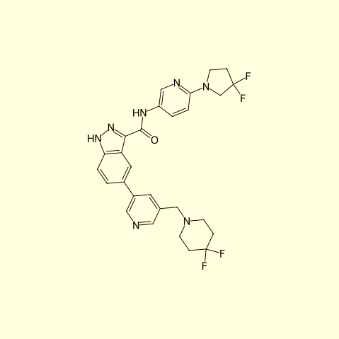 O=C(Nc1ccc(N2CCC(F)(F)C2)nc1)c1n[nH]c2ccc(-c3cncc(CN4CCC(F)(F)CC4)c3)cc12